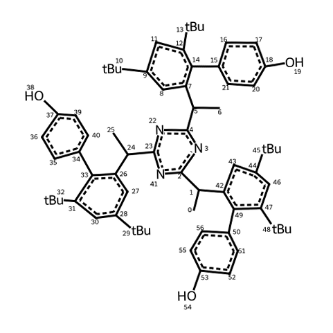 CC(c1nc(C(C)c2cc(C(C)(C)C)cc(C(C)(C)C)c2-c2ccc(O)cc2)nc(C(C)c2cc(C(C)(C)C)cc(C(C)(C)C)c2-c2ccc(O)cc2)n1)c1cc(C(C)(C)C)cc(C(C)(C)C)c1-c1ccc(O)cc1